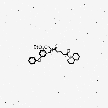 CCOC(=O)CN(Cc1cccc(Oc2ccccc2)c1)C(=O)CCCC(=O)N1CCCC2CCCCC21